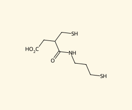 O=C(O)CC(CS)C(=O)NCCCS